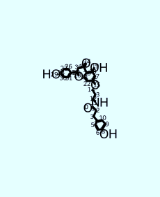 O=C(CCc1ccc(O)cc1)NCCCOc1cc(O)c2c(c1)OC(c1ccc(O)cc1)CC2=O